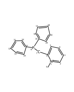 C[n+]1ccccc1CP(c1ccccc1)c1ccccc1